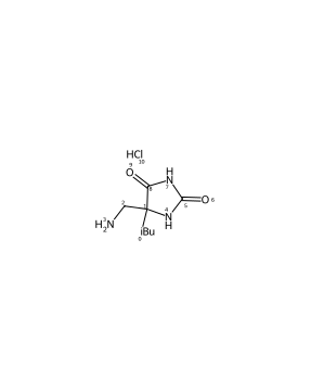 CCC(C)C1(CN)NC(=O)NC1=O.Cl